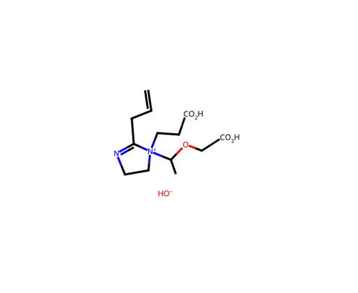 C=CCC1=NCC[N+]1(CCC(=O)O)C(C)OCC(=O)O.[OH-]